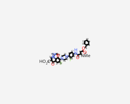 CN[C@@H](CC(=O)OCc1ccccc1)C(=O)Nc1ccc(N2CCN(c3c(F)cc4c(=O)c(C(=O)O)cn5c4c3OCN5C)CC2)c(F)c1